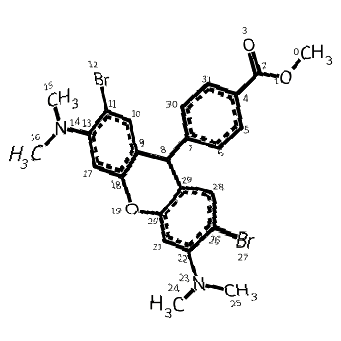 COC(=O)c1ccc(C2c3cc(Br)c(N(C)C)cc3Oc3cc(N(C)C)c(Br)cc32)cc1